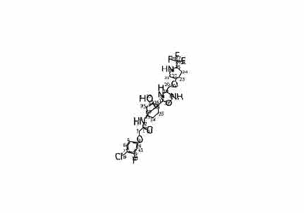 O=C(COc1ccc(Cl)c(F)c1)NC12CCC(C3NC(COC4CCC(C(F)(F)F)NC4)NO3)(CC1)C(O)C2